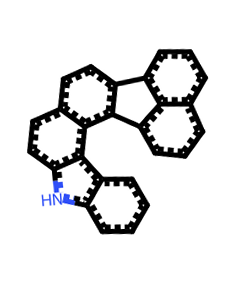 c1cc2c3c(cccc3c1)-c1c-2ccc2ccc3[nH]c4ccccc4c3c12